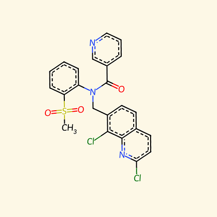 CS(=O)(=O)c1ccccc1N(Cc1ccc2ccc(Cl)nc2c1Cl)C(=O)c1cccnc1